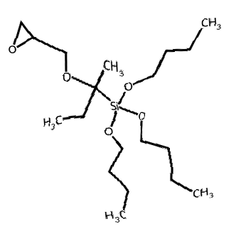 CCCCO[Si](OCCCC)(OCCCC)C(C)(CC)OCC1CO1